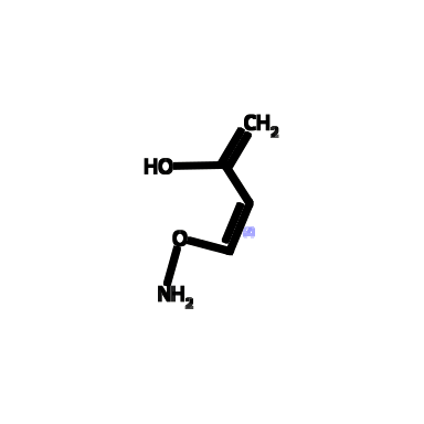 C=C(O)/C=C\ON